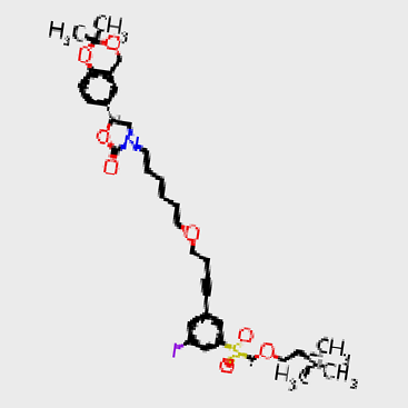 CC1(C)OCc2cc([C@@H]3CN(CCCCCCOCCC#Cc4cc(I)cc(S(=O)(=O)[CH]OCC[Si](C)(C)C)c4)C(=O)O3)ccc2O1